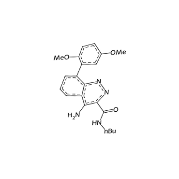 CCCCNC(=O)c1nnc2c(-c3cc(OC)ccc3OC)cccc2c1N